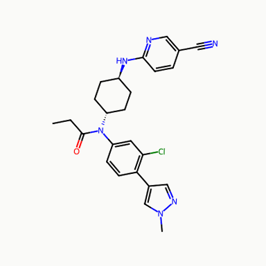 CCC(=O)N(c1ccc(-c2cnn(C)c2)c(Cl)c1)[C@H]1CC[C@H](Nc2ccc(C#N)cn2)CC1